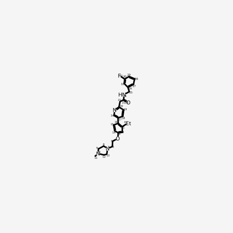 CCc1cc(OCCN2CCN(C)CC2)ccc1-c1ccc(CC(=O)NCc2cccc(F)c2)nc1